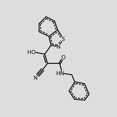 N#CC(C(=O)NCc1ccccc1)=C(O)c1nsc2ccccc12